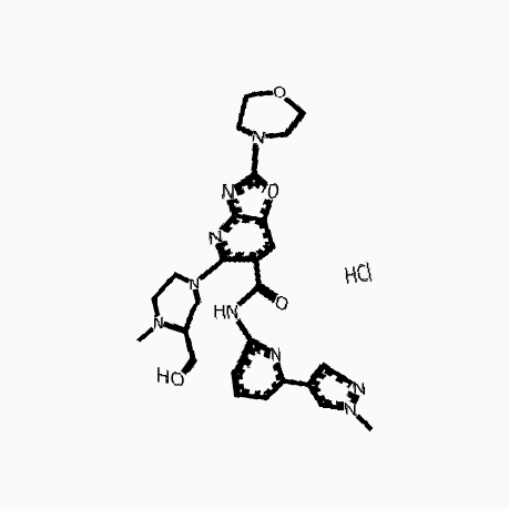 CN1CCN(c2nc3nc(N4CCOCC4)oc3cc2C(=O)Nc2cccc(-c3cnn(C)c3)n2)CC1CO.Cl